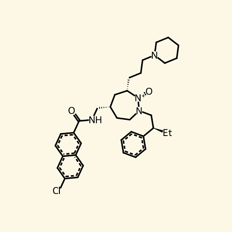 CC[C@H](CN1CC[C@H](CNC(=O)c2ccc3cc(Cl)ccc3c2)C[C@H](CCCN2CCCCC2)[N+]1=O)c1ccccc1